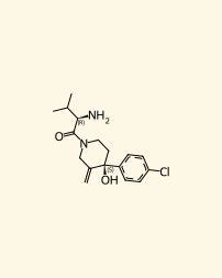 C=C1CN(C(=O)[C@H](N)C(C)C)CC[C@]1(O)c1ccc(Cl)cc1